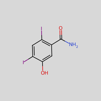 NC(=O)c1cc(O)c(I)cc1I